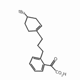 CC(C)(C)C1CC=C(CCCc2ccccc2C(=O)C(=O)O)CC1